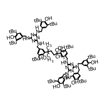 CC(C)(C)c1cc(CNc2nc(NCc3cc(C(C)(C)C)c(O)c(C(C)(C)C)c3)nc(NCc3cc(C(C)(C)C)c(O)c(C(C)(C)CCC(C)(C)c4cc(CNc5nc(NCc6cc(C(C)(C)C)c(O)c(C(C)(C)C)c6)nc(N(Cc6cc(C(C)(C)C)c(O)c(C(C)(C)C)c6)Cc6cc(C(C)(C)C)c(O)c(C(C)(C)C)c6)n5)cc(C(C)(C)C)c4O)c3)n2)cc(C(C)(C)C)c1O